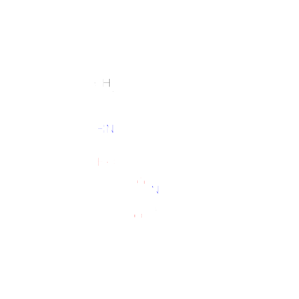 C=CCNCC(O)CON1C(=O)CCc2ccccc21